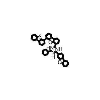 c1ccc(C2NC(c3ccc4c(c3)oc3ccccc34)NC(c3cccc4c3oc3c(-c5cccc6c5sc5ccccc56)cccc34)N2)cc1